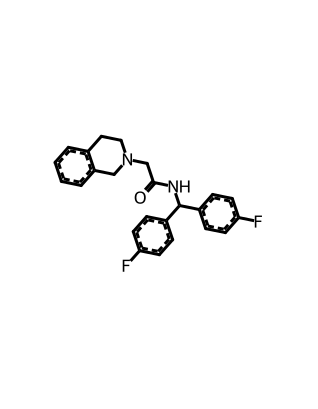 O=C(CN1CCc2ccccc2C1)NC(c1ccc(F)cc1)c1ccc(F)cc1